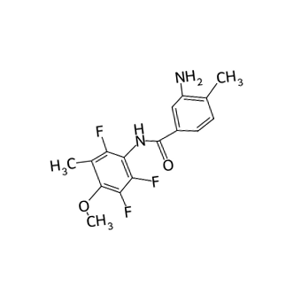 COc1c(C)c(F)c(NC(=O)c2ccc(C)c(N)c2)c(F)c1F